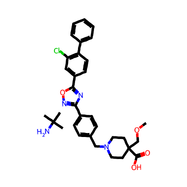 CC(C)(C)N.COCC1(C(=O)O)CCN(Cc2ccc(-c3noc(-c4ccc(-c5ccccc5)c(Cl)c4)n3)cc2)CC1